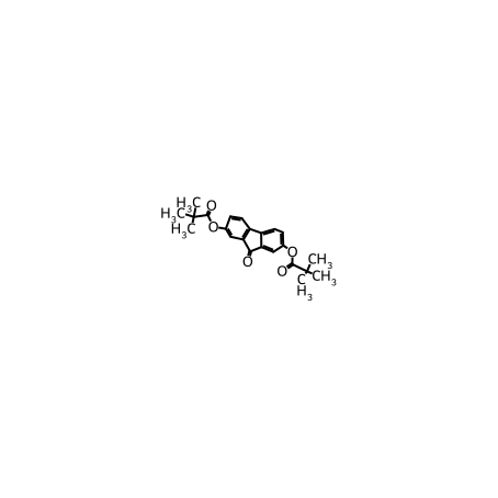 CC(C)(C)C(=O)Oc1ccc2c(c1)C(=O)c1cc(OC(=O)C(C)(C)C)ccc1-2